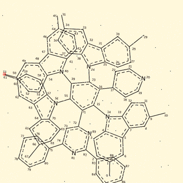 Cc1ccc2c(c1)c1cc(C)ccc1n2-c1c(-c2ccncc2)c(-n2c3ccc(C)cc3c3cc(C)ccc32)c(-n2c3ccc(C)cc3c3cc(C)ccc32)c(-n2c3ccc(C)cc3c3cc(C)ccc32)c1-c1cc(-c2ccccc2)nc(-c2ccccc2)n1